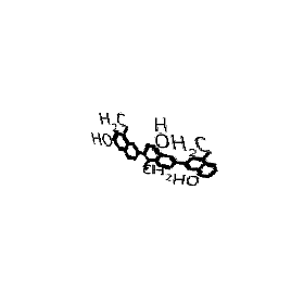 C=Cc1cc(O)cc2ccc(-c3cc(O)c4cc(-c5cc(C=C)c6cccc(O)c6c5)ccc4c3C=C)cc12